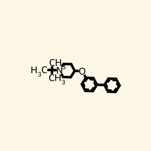 CC(C)(C)N1CCC(Oc2cccc(-c3ccccc3)c2)CC1